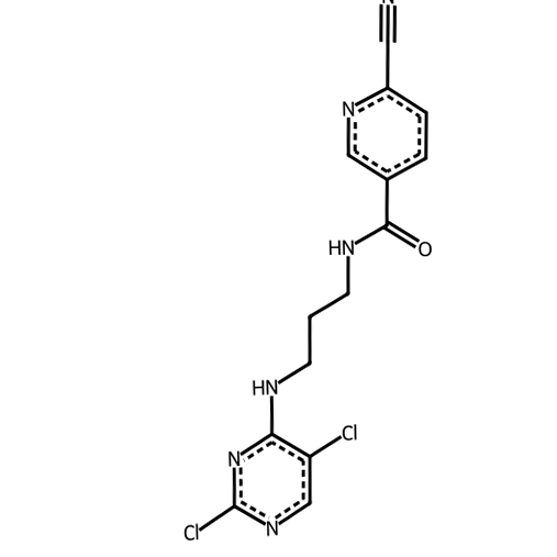 N#Cc1ccc(C(=O)NCCCNc2nc(Cl)ncc2Cl)cn1